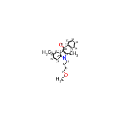 COCCCCn1c(C)c(C(=O)c2ccccc2)c2cc(C)ccc21